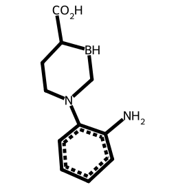 Nc1ccccc1N1CBC(C(=O)O)CC1